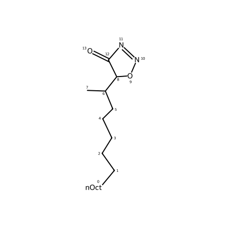 CCCCCCCCCCCCCC(C)C1ON=NC1=O